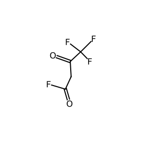 O=C(F)CC(=O)C(F)(F)F